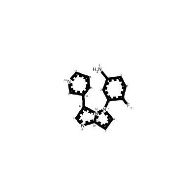 Nc1ccc(F)c(-n2ccc3ncc(-c4cccnc4)n32)c1